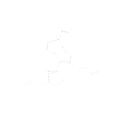 C=CCSc1cc2n(c1-c1ccn(CC=C)c1)CCC2C(=O)OC